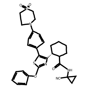 N#CC1(NC(=O)C2CCCC[C@H]2c2nc(Oc3ccccc3)sc2-c2ccc(N3CCS(=O)(=O)CC3)cc2)CC1